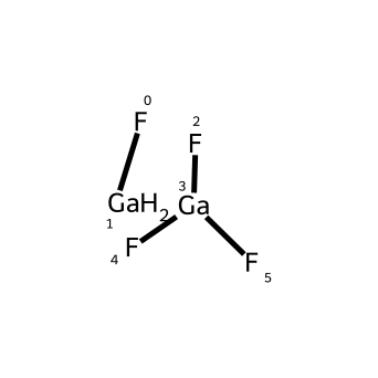 [F][GaH2].[F][Ga]([F])[F]